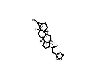 CCC1C2[C@@H]3CC[C@@H]4[C@H](CC[C@]5(C)[C@@H](C(=O)Cn6ncnn6)CC[C@@H]45)[C@H]3CC[C@]12O